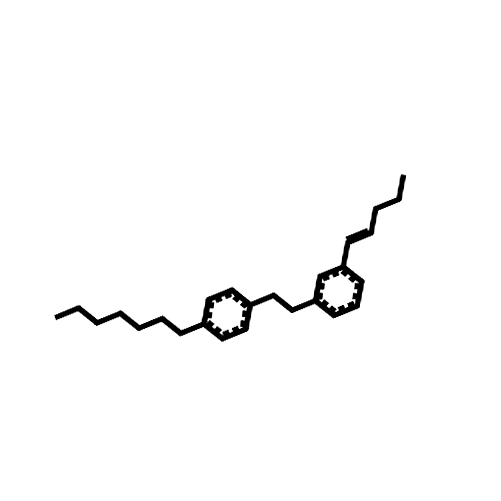 CCC/C=C/c1cccc(CCc2ccc(CCCCCCC)cc2)c1